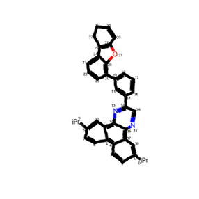 CC(C)c1ccc2c3ccc(C(C)C)cc3c3nc(-c4cccc(-c5cccc6c7c(oc56)C=CCC7)c4)cnc3c2c1